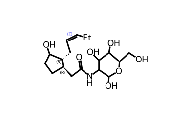 CC/C=C\C[C@H]1C(O)CC[C@@H]1CC(=O)NC1C(O)OC(CO)C(O)C1O